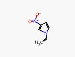 C=Cn1ccc([N+](=O)[O-])c1